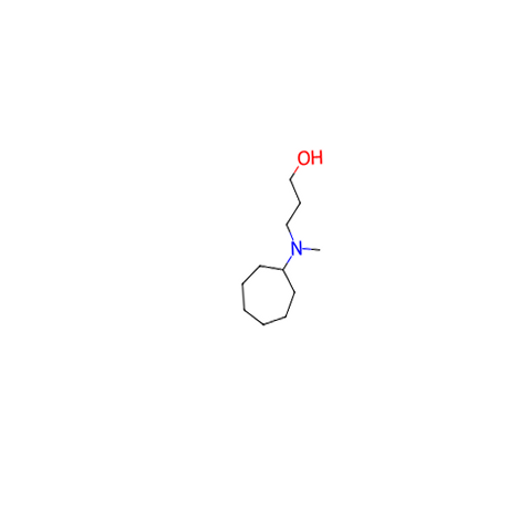 CN(CCCO)C1CCCCCC1